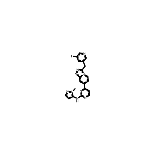 Cn1nccc1Nc1nccc(-c2ccn3c(Cc4cncc(F)c4)nnc3c2)n1